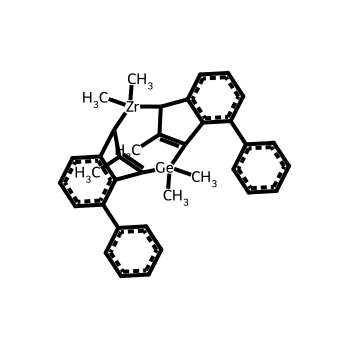 CC1=[C]2c3c(-c4ccccc4)cccc3[CH]1[Zr]([CH3])([CH3])[CH]1C(C)=[C](c3c(-c4ccccc4)cccc31)[Ge]2([CH3])[CH3]